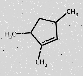 CC1=[C]C(C)CC1C